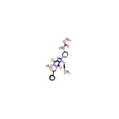 CC#CCn1c(N2CCC[C@@H](NC(=O)OC(C)(C)C)C2)nc2c(=O)n(C)n(CC(=O)c3ccccc3)c(=O)c21